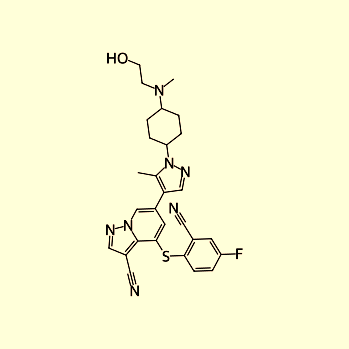 Cc1c(-c2cc(Sc3ccc(F)cc3C#N)c3c(C#N)cnn3c2)cnn1C1CCC(N(C)CCO)CC1